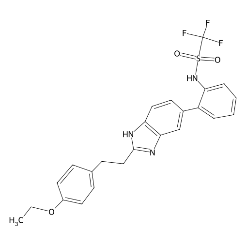 CCOc1ccc(CCc2nc3cc(-c4ccccc4NS(=O)(=O)C(F)(F)F)ccc3[nH]2)cc1